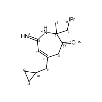 CC(C)CC1(C)NC(=N)C=C(CC2CC2)CC1=O